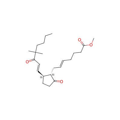 CCCCC(C)(C)C(=O)C=C[C@@H]1CCC(=O)[C@H]1CC=CCCCC(=O)OC